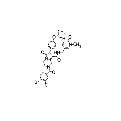 CC(C)Oc1ccc(-n2c(C(=O)NCc3ccc(=O)n(C)c3)c3n(c2=O)CCN(C(=O)c2ccc(Br)c(Cl)c2)C3)cc1